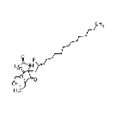 CCCCCCCCCCCCCC=C(F)CC(NC(C)=O)(C(=O)OCC)C(=O)OCC